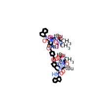 C[C@@H](C(=O)N[C@H](C(=O)N1Cc2cc(OC(=O)c3ccc(C(=O)N[C@H]4C[C@@H](C(=O)N[C@@H]5CCCc6ccccc65)N(C(=O)[C@@H](NC(=O)[C@H](C)N(C)C(=O)OC(C)(C)C)C(C)(C)C)C4)cc3)ccc2C[C@H]1C(=O)N[C@@H]1CCCc2ccccc21)C(C)(C)C)N(C)C(=O)OC(C)(C)C